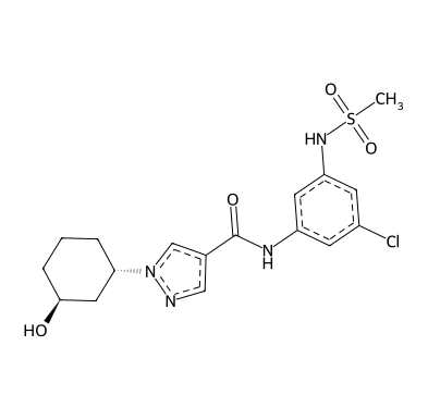 CS(=O)(=O)Nc1cc(Cl)cc(NC(=O)c2cnn([C@H]3CCC[C@H](O)C3)c2)c1